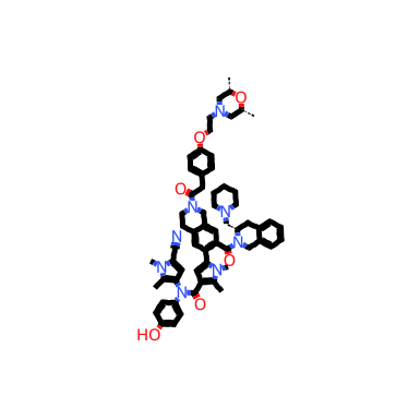 Cc1c(N(C(=O)c2cc(-c3cc4c(cc3C(=O)N3Cc5ccccc5C[C@H]3CN3CCCCC3)CN(C(=O)Cc3ccc(OCCN5C[C@@H](C)O[C@@H](C)C5)cc3)CC4)n(C)c2C)c2ccc(O)cc2)cc(C#N)n1C